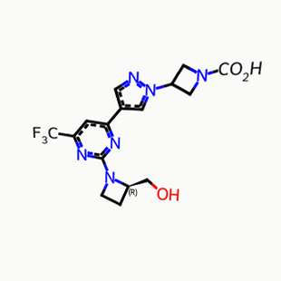 O=C(O)N1CC(n2cc(-c3cc(C(F)(F)F)nc(N4CC[C@@H]4CO)n3)cn2)C1